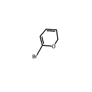 BrC1=CC=CCO1